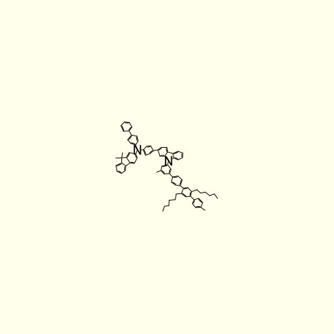 CCCCCCc1cc(-c2ccc(-c3cc(C)cc(-n4c5ccccc5c5ccc(-c6ccc(N(c7ccc(-c8ccccc8)cc7)c7ccc8c(c7)C(C)(C)c7ccccc7-8)cc6)cc54)c3)cc2)c(CCCCCC)cc1-c1ccc(C)cc1